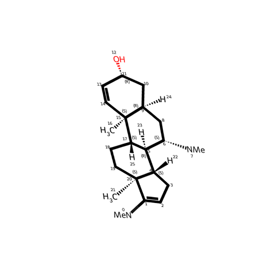 CNC1=CC[C@H]2[C@@H]3[C@@H](NC)C[C@@H]4C[C@@H](O)C=C[C@]4(C)[C@H]3CC[C@]12C